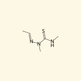 C/C=N/N(C)C(=S)NC